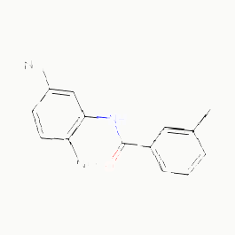 Cc1cccc(C(=O)Nc2cc(C#N)ccc2[N+](=O)[O-])c1